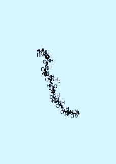 C=C(/N=C/C)NC(=N)c1cc(NC(=O)CCNC(=O)c2nc(NC(=O)[C@H](N)CCNC(=O)c3cc(NC(=O)c4nc(NC(=O)CCNC(=O)c5cc(NC(=O)c6nccn6C)cn5C)cn4C)cn3C)cn2C)cn1C